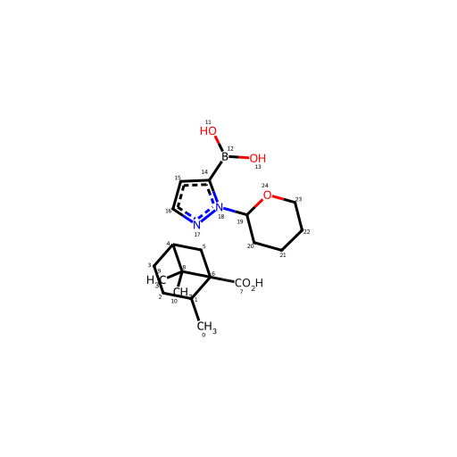 CC1CCC2CC1(C(=O)O)C2(C)C.OB(O)c1ccnn1C1CCCCO1